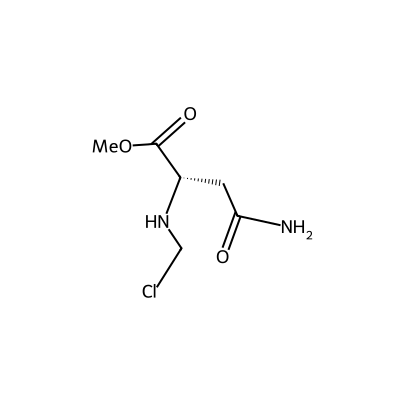 COC(=O)[C@H](CC(N)=O)NCCl